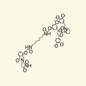 COc1ccc(CCC(OC(=O)[C@@H]2CCCCN2C(=O)Cc2cc(OC)c(OC)c(OC)c2)c2cccc(OCC(=O)NCCCCCCCCNC(=O)COc3cccc4c3CN(C3CCC(=O)NC3=O)C4=O)c2)cc1OC